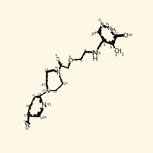 Cc1c(NCCOCC(=O)N2CCN(c3ccc(C#N)cn3)CC2)cn[nH]c1=O